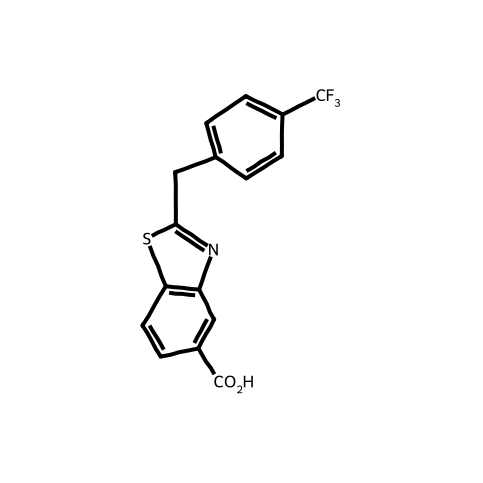 O=C(O)c1ccc2sc(Cc3ccc(C(F)(F)F)cc3)nc2c1